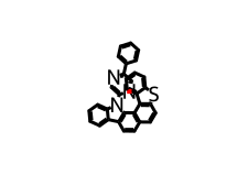 c1ccc(-c2cnc(-n3c4ccccc4c4ccc5ccc6sc7ccccc7c6c5c43)cn2)cc1